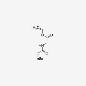 C=COC(=O)CNC(=O)OCCCC